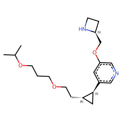 CC(C)OCCCOCC[C@H]1C[C@@H]1c1cncc(OC[C@@H]2CCN2)c1